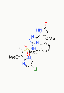 COc1cccc(OC)c1-n1c(NS(=O)(=O)[C@@H](C)[C@H](OC)c2ncc(Cl)cn2)nnc1[C@@H]1CCC(=O)N1